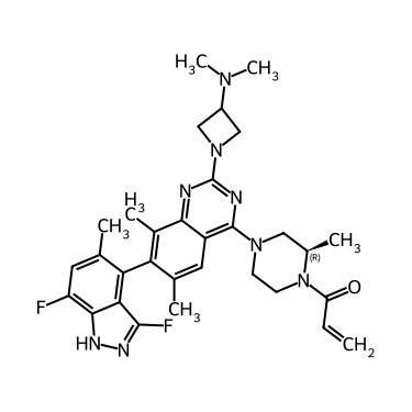 C=CC(=O)N1CCN(c2nc(N3CC(N(C)C)C3)nc3c(C)c(-c4c(C)cc(F)c5[nH]nc(F)c45)c(C)cc23)C[C@H]1C